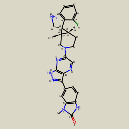 Cn1c(=O)[nH]c2ccc(-c3n[nH]c4nc(N5CC[C@@H]6[C@H](C5)[C@@]6(CN)c5ccccc5F)cnc34)cc21